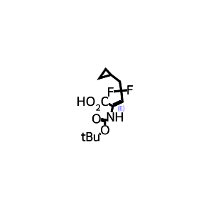 CC(C)(C)OC(=O)N/C(=C/C(F)(F)CC1CC1)C(=O)O